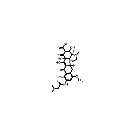 CN(C)CC(=O)Nc1cc(OC(F)(F)F)c2c(c1O)C(=O)C1=C(O)[C@]3(O)C(=O)C(C(N)=O)=C(O)[C@H]4N(C)CC[C@]43C[C@@H]1C2